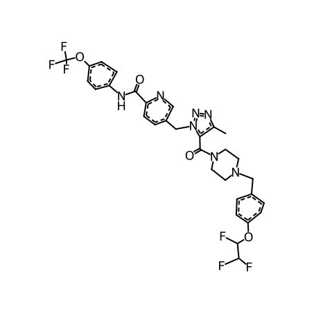 Cc1nnn(Cc2ccc(C(=O)Nc3ccc(OC(F)(F)F)cc3)nc2)c1C(=O)N1CCN(Cc2ccc(OC(F)C(F)F)cc2)CC1